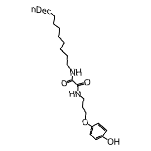 CCCCCCCCCCCCCCCCCCNC(=O)C(=O)NCCCOc1ccc(O)cc1